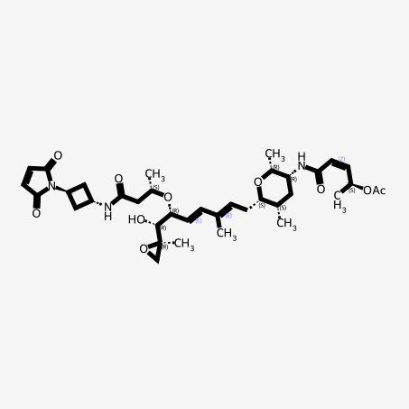 CC(=O)O[C@@H](C)/C=C\C(=O)N[C@@H]1C[C@H](C)[C@H](C/C=C(C)/C=C/[C@@H](O[C@@H](C)CC(=O)N[C@H]2C[C@H](N3C(=O)C=CC3=O)C2)[C@@H](O)[C@@]2(C)CO2)O[C@@H]1C